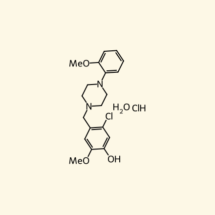 COc1cc(CN2CCN(c3ccccc3OC)CC2)c(Cl)cc1O.Cl.O